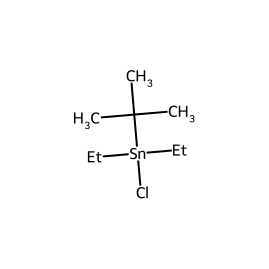 C[CH2][Sn]([Cl])([CH2]C)[C](C)(C)C